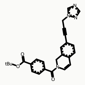 CC(C)(C)OC(=O)c1ccc(C(=O)N2C=Cc3ccc(C#CCn4cncn4)cc3C2)cc1